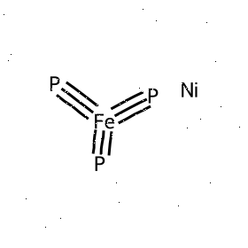 [Ni].[P]#[Fe](#[P])#[P]